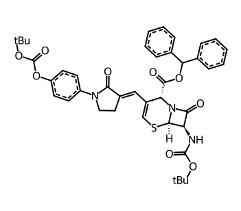 CC(C)(C)OC(=O)N[C@@H]1C(=O)N2[C@@H](C(=O)OC(c3ccccc3)c3ccccc3)C(C=C3CCN(c4ccc(OC(=O)OC(C)(C)C)cc4)C3=O)=CS[C@H]12